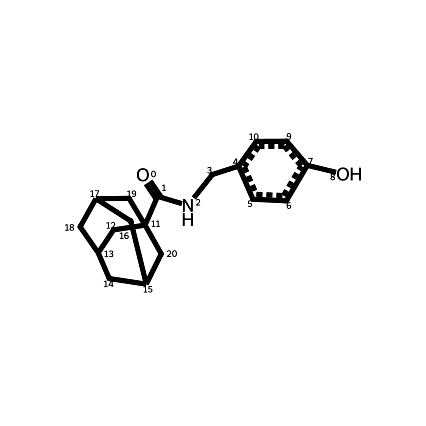 O=C(NCc1ccc(O)cc1)C12CC3CC(CC(C3)C1)C2